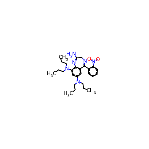 CCCN(CCC)c1cc2c(c(N(CCC)CCC)c1)N=C(N)CN=C2c1ccccc1[N+](=O)[O-]